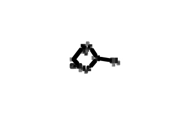 CN(C)C.NCC=O